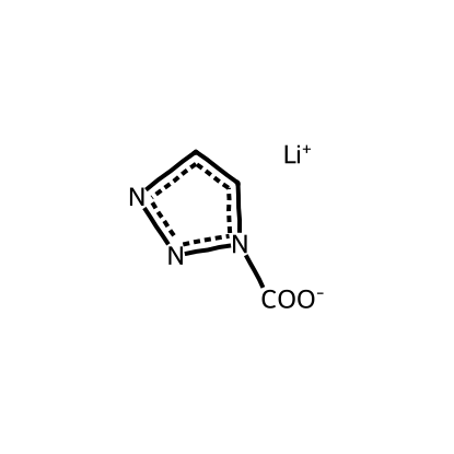 O=C([O-])n1ccnn1.[Li+]